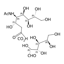 CC(=O)N[C@@H]([C@@H](O)[C@H](O)[C@H](O)CO)[C@@H](O)CC(=O)C(=O)O.O=C[C@H](O)[C@@H](O)[C@@H](O)[C@H](O)CO